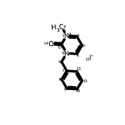 C[n+]1cccn(Cc2ccccc2)c1=O.[I-]